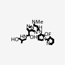 CNc1cc(Nc2cccn(-c3ncccc3F)c2=O)nc2c(C(O)NCC(C)CO)cnn12